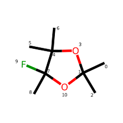 CC1(C)OC(C)(C)C(C)(F)O1